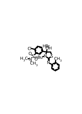 Br.CCCCN1C(=Nc2ccccc2C)SCC1(O)c1ccc(Cl)c(S(=O)(=O)N(C)C)c1